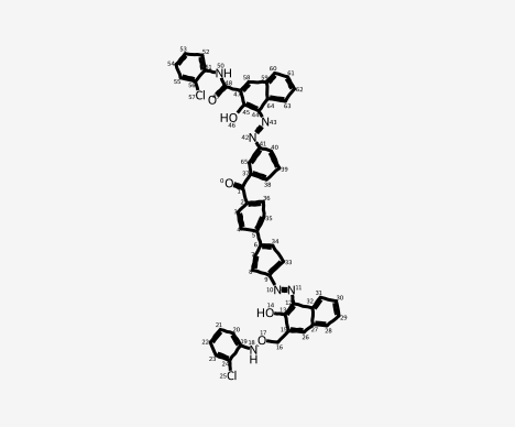 O=C(c1ccc(-c2ccc(N=Nc3c(O)c(CONc4ccccc4Cl)cc4ccccc34)cc2)cc1)c1cccc(N=Nc2c(O)c(C(=O)Nc3ccccc3Cl)cc3ccccc23)c1